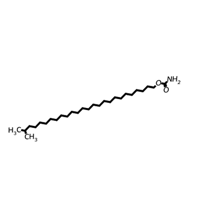 CC(C)CCCCCCCCCCCCCCCCCCCCCCCCOC(N)=O